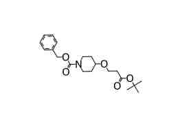 CC(C)(C)OC(=O)CCOC1CCN(C(=O)OCc2ccccc2)CC1